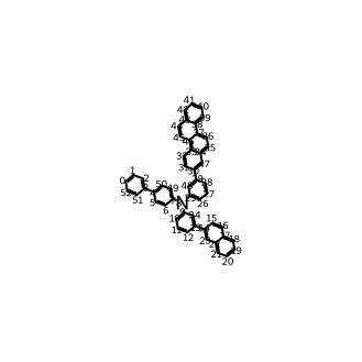 c1ccc(-c2ccc(N(c3cccc(-c4ccc5ccccc5c4)c3)c3cccc(-c4ccc5c(ccc6c7ccccc7ccc56)c4)c3)cc2)cc1